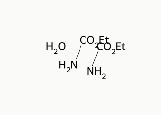 CCOC(N)=O.CCOC(N)=O.O